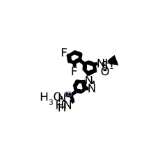 CN/C=C(\C=N)c1ccc2c(c1)ncn2-c1cc(N[S+]([O-])C2CC2)cc(-c2ccc(F)cc2F)c1